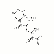 C=C(C)C(=O)C(O)COC(=O)C1CCCCC1C(=O)O